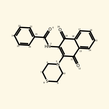 O=C(NC1=C(N2CCSCC2)C(=O)c2ccccc2C1=O)c1ccccc1